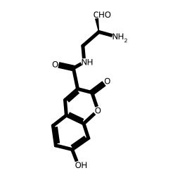 N[C@H](C=O)CNC(=O)c1cc2ccc(O)cc2oc1=O